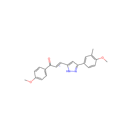 COc1ccc(C(=O)/C=C/c2cc(-c3ccc(OC)c(C)c3)n[nH]2)cc1